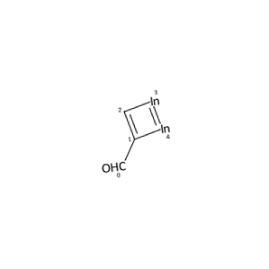 O=C[C]1=[CH][In]=[In]1